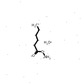 CCCCCC(=O)ON.O